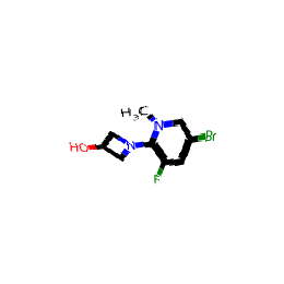 CN1CC(Br)=CC(F)=C1N1CC(O)C1